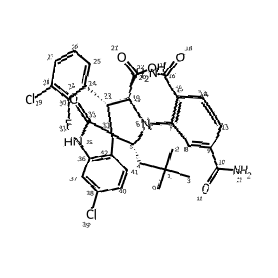 CC(C)(C)C[C@H]1N(c2cc(C(N)=O)ccc2C(N)=O)[C@H](C(=O)O)[C@@H](c2cccc(Cl)c2F)C12C(=O)Nc1cc(Cl)ccc12